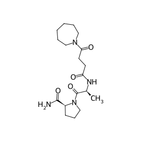 C[C@H](NC(=O)CCC(=O)N1CCCCCC1)C(=O)N1CCC[C@H]1C(N)=O